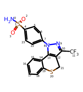 NS(=O)(=O)c1ccc(-n2nc(C(F)(F)F)c3c2-c2ccccc2SC3)cc1